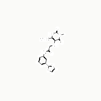 CNc1[nH]c(=O)n(C)c(=O)c1NCC(=O)Nc1cccc(-c2nccs2)c1